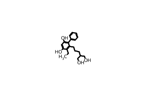 CCc1c(O)cc(O)c(-c2ccccc2)c1CCCC(CO)CO